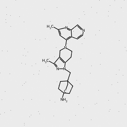 Cc1cc(N2CCc3c(c(C)nn3CC34CCC(N)(CC3)CC4)C2)c2ccncc2n1